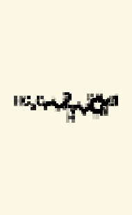 O=C(O)CCCC(=O)NCCc1ccc(Cl)nc1